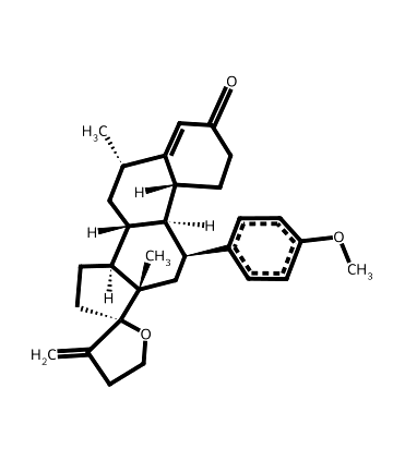 C=C1CCO[C@@]12CC[C@H]1[C@@H]3C[C@H](C)C4=CC(=O)CC[C@@H]4[C@H]3[C@@H](c3ccc(OC)cc3)C[C@@]12C